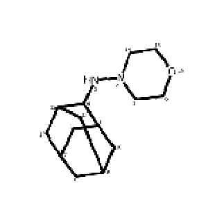 C1CN(NC2C3CC4CC(C3)CC2C4)CCO1